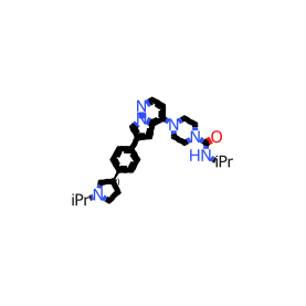 CC(C)NC(=O)N1CCN(c2ccnn3cc(-c4ccc([C@H]5CCN(C(C)C)C5)cc4)cc23)CC1